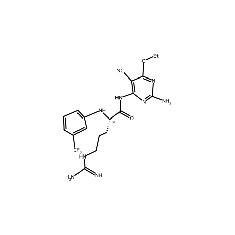 CCOc1nc(N)nc(NC(=O)[C@H](CCCNC(=N)N)Nc2cccc(C(F)(F)F)c2)c1C#N